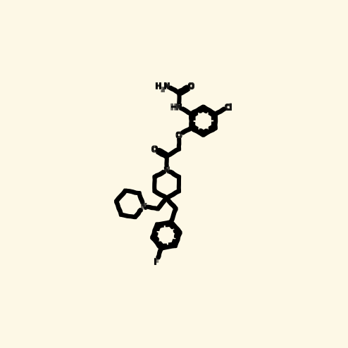 NC(=O)Nc1cc(Cl)ccc1OCC(=O)N1CCC(Cc2ccc(F)cc2)(CN2CCCCC2)CC1